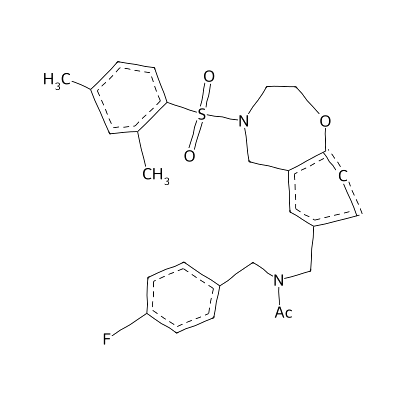 CC(=O)N(Cc1ccc(F)cc1)Cc1ccc2c(c1)CN(S(=O)(=O)c1ccc(C)cc1C)CCO2